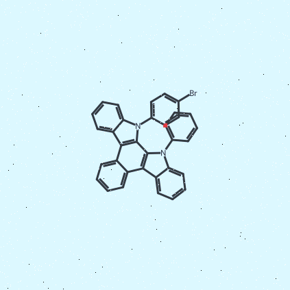 Brc1ccc(-n2c3ccccc3c3c4ccccc4c4c5ccccc5n(-c5ccccc5)c4c32)cc1